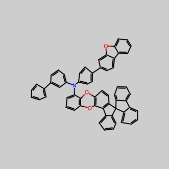 c1ccc(-c2cccc(N(c3ccc(-c4ccc5c(c4)oc4ccccc45)cc3)c3cccc4c3Oc3ccc5c(c3O4)-c3ccccc3C53c4ccccc4-c4ccccc43)c2)cc1